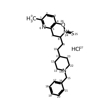 Cc1ccc2c(n1)CC(CCC1CCN(Cc3ccccc3)CC1)[N+](=S)O2.Cl